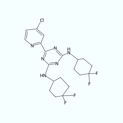 FC1(F)CCC(Nc2nc(NC3CCC(F)(F)CC3)nc(-c3cc(Cl)ccn3)n2)CC1